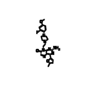 COc1ccc(N2CCN(CCn3c(=O)cnc4c(-c5ccc(C)o5)nc(N)nc43)CC2)c(F)c1